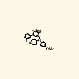 COc1ccc(N(Cc2ccnc(-c3cccc(F)c3)c2)C2CCNCC2)cc1.Cl.Cl